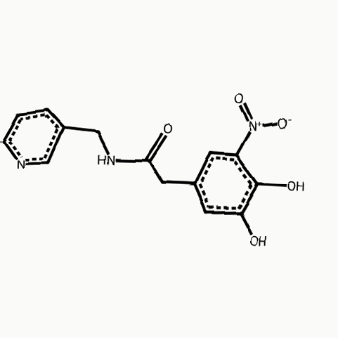 O=C(Cc1cc(O)c(O)c([N+](=O)[O-])c1)NCc1cccnc1